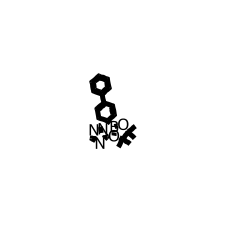 CC1(C)OB(C2(n3cncn3)C=CC(c3ccccc3)=CC2)OC1(C)C